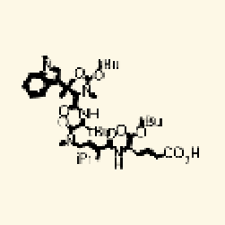 C/C(=C\[C@H](C(C)C)N(C)C(=O)[C@@H](NC(=O)[C@@H](N(C)C(=O)OC(C)(C)C)C(C)(C)c1cn(C)c2ccccc12)C(C)(C)C)C(=O)N[C@H](CCCC(=O)O)C(=O)OC(C)(C)C